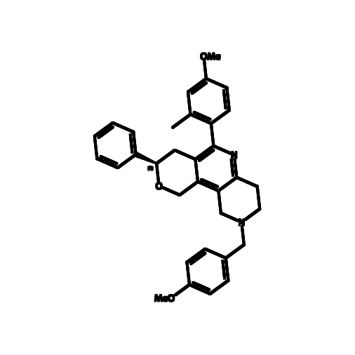 COc1ccc(CN2CCc3nc(-c4ccc(OC)cc4C)c4c(c3C2)CO[C@@H](c2ccccc2)C4)cc1